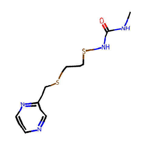 CNC(=O)NSCCSCc1cnccn1